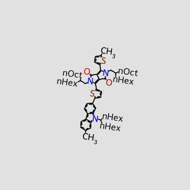 CCCCCCCCC(CCCCCC)CN1C(=O)C2=C(c3ccc(-c4ccc5c6ccc(C)cc6n(C(CCCCCC)CCCCCC)c5c4)s3)N(CC(CCCCCC)CCCCCCCC)C(=O)C2=C1c1ccc(C)s1